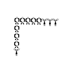 C[N+]1(C)CCOCC1.C[N+]1(C)CCOCC1.C[N+]1(C)CCOCC1.C[N+]1(C)CCOCC1.C[N+]1(C)CCOCC1.C[N+]1(C)CCOCC1.C[N+]1(C)CCOCC1.C[N+]1(C)CCOCC1.N#CB([O-])[O-].N#CB([O-])[O-].N#CB([O-])[O-].N#CB([O-])[O-]